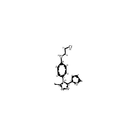 Cc1nnc(-c2cccs2)n1-c1ccc(OCCCl)cc1